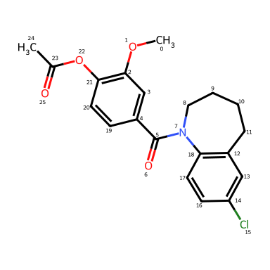 COc1cc(C(=O)N2CCCCc3cc(Cl)ccc32)ccc1OC(C)=O